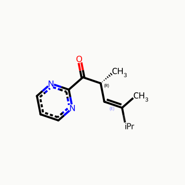 C/C(=C\[C@@H](C)C(=O)c1ncccn1)C(C)C